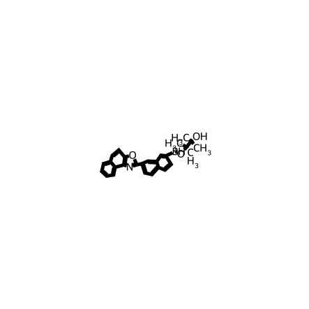 CC(C)(O)C(C)(C)OBc1ccc2ccc(-c3nc4c(ccc5ccccc54)o3)cc2c1